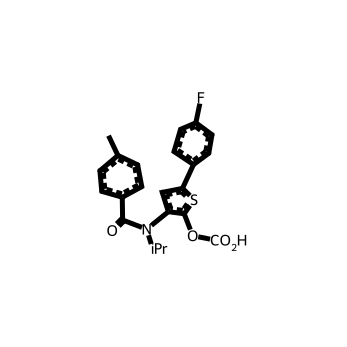 Cc1ccc(C(=O)N(c2cc(-c3ccc(F)cc3)sc2OC(=O)O)C(C)C)cc1